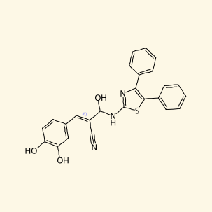 N#C/C(=C\c1ccc(O)c(O)c1)C(O)Nc1nc(-c2ccccc2)c(-c2ccccc2)s1